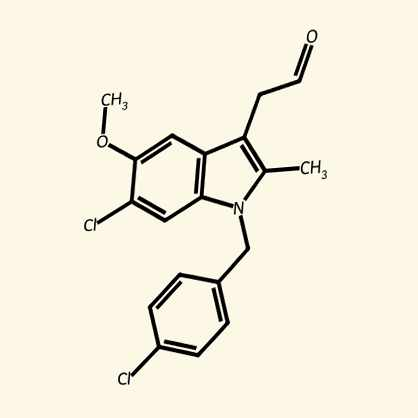 COc1cc2c(CC=O)c(C)n(Cc3ccc(Cl)cc3)c2cc1Cl